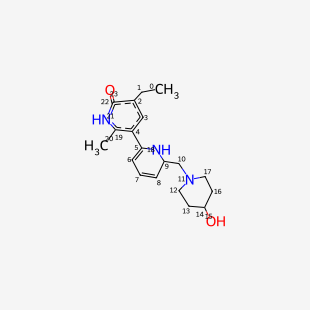 CCc1cc(C2=CC=CC(CN3CCC(O)CC3)N2)c(C)[nH]c1=O